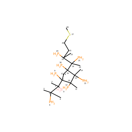 BC(C)(C(C)(C)P)C(C)(P)C(C)(P)C(C)(P)C(C)(P)C(C)(P)C(C)(P)CCSC